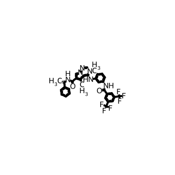 Cc1ccc(NC(=O)c2cc(C(F)(F)F)cc(C(F)(F)F)c2)cc1Nc1ncnn2cc(C(=O)N[C@@H](C)c3ccccc3)c(C)c12